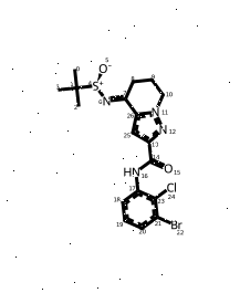 CC(C)(C)[S@@+]([O-])/N=C1\CCCn2nc(C(=O)Nc3cccc(Br)c3Cl)cc21